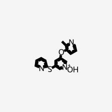 Cc1ncccc1Oc1cc(Sc2ccccn2)c[n+](O)c1